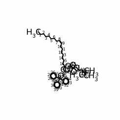 CCCCCCCC/C=C\CCCCCCCC(=O)O[C@H](COC(c1ccccc1)(c1ccccc1)c1ccccc1)COP(=O)([O-])OCC[N+](C)(C)C